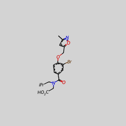 Cc1cc(COc2ccc(C(=O)N(CC(=O)O)CC(C)C)cc2Br)on1